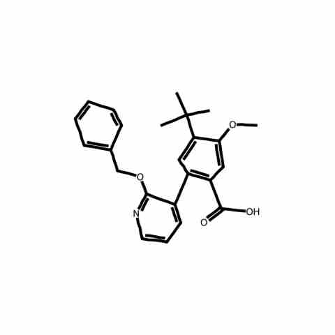 COc1cc(C(=O)O)c(-c2cccnc2OCc2ccccc2)cc1C(C)(C)C